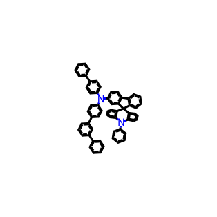 c1ccc(-c2ccc(N(c3ccc(-c4cccc(-c5ccccc5)c4)cc3)c3ccc4c(c3)C3(c5ccccc5-4)c4ccccc4N(c4ccccc4)c4ccccc43)cc2)cc1